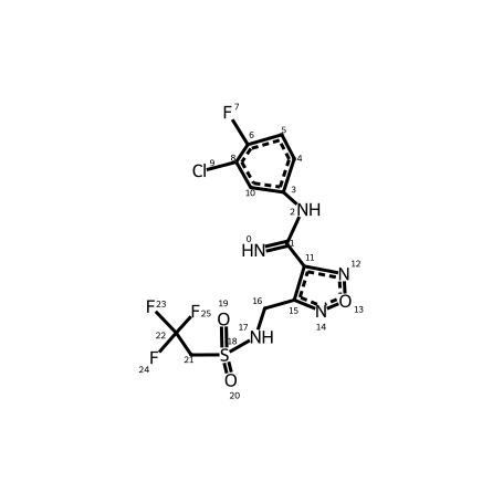 N=C(Nc1ccc(F)c(Cl)c1)c1nonc1CNS(=O)(=O)CC(F)(F)F